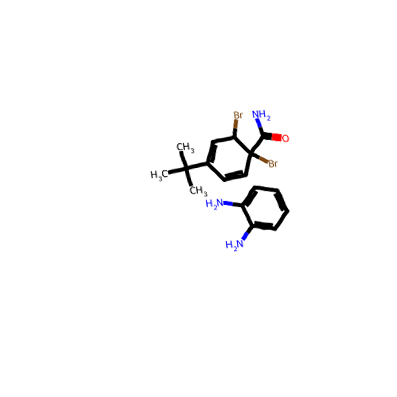 CC(C)(C)C1=CC(Br)C(Br)(C(N)=O)C=C1.Nc1ccccc1N